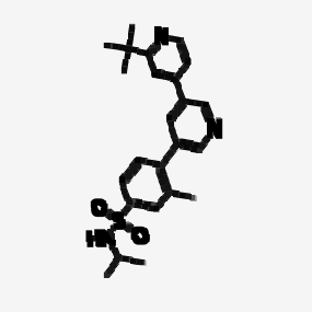 Cc1cc(S(=O)(=O)NC(C)C)ccc1-c1cncc(-c2ccnc(C(C)(C)C)c2)c1